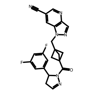 N#Cc1cnc2cnn(CC34CC(C(=O)N5N=CCC5c5cc(F)cc(F)c5)(C3)C4)c2c1